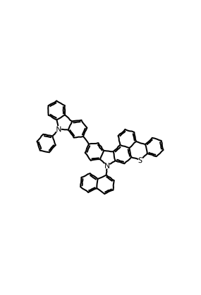 c1ccc(-n2c3ccccc3c3ccc(-c4ccc5c(c4)c4c6cccc7c6c(cc4n5-c4cccc5ccccc45)Sc4ccccc4-7)cc32)cc1